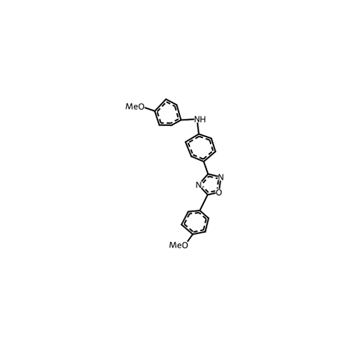 COc1ccc(Nc2ccc(-c3noc(-c4ccc(OC)cc4)n3)cc2)cc1